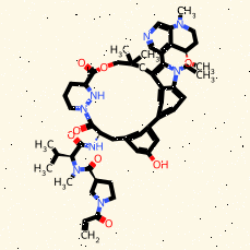 C=CC(=O)N1CC[C@H](C(=O)N(C)[C@H](C(=O)N[C@H]2Cc3cc(O)cc(c3)-c3ccc4c(c3)c(c(-c3cncc5c3[C@@H](OC)CCN5C)n4CC)CC(C)(C)COC(=O)[C@@H]3CCCN(N3)C2=O)C(C)C)C1